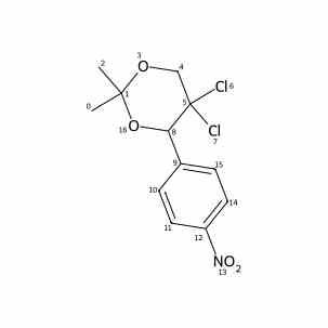 CC1(C)OCC(Cl)(Cl)C(c2ccc([N+](=O)[O-])cc2)O1